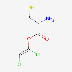 N[C@@H](CS)C(=O)OC(Cl)=CCl